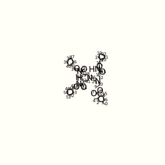 Cc1cc(C)c(C(=O)OCCN(CCC(=O)NOCc2ccccc2)CCN(CCC(=O)NOCc2ccccc2)CCC(=O)NOCc2ccccc2)c(C)c1